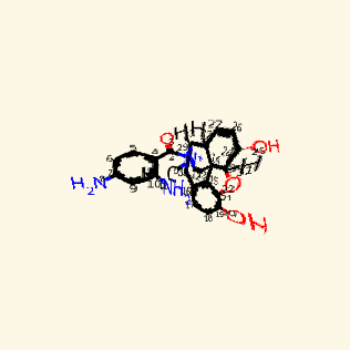 C[N+]1(C(=O)c2ccc(N)cc2N)CC[C@]23c4c5ccc(O)c4O[C@H]2[C@@H](O)C=C[C@H]3[C@H]1C5